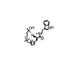 CC(C)(O)CCOC(C)(C)Cc1ccc(/C=C(\C#N)C(=O)NCCc2c[nH]c3ccccc23)o1